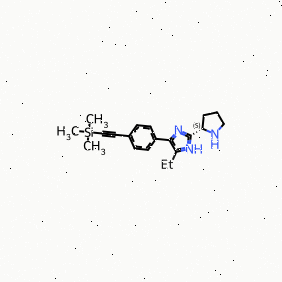 CCc1[nH]c([C@@H]2CCCN2)nc1-c1ccc(C#C[Si](C)(C)C)cc1